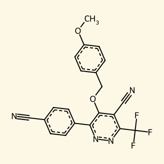 COc1ccc(COc2c(-c3ccc(C#N)cc3)nnc(C(F)(F)F)c2C#N)cc1